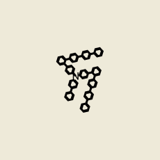 c1ccc(-c2ccc(-c3ccc(-c4ccccc4-c4ccc(N(c5ccc(-c6ccccc6)cc5)c5ccc(-c6ccccc6-c6ccc(-c7ccc(-c8ccccc8)cc7)cc6)cc5)cc4)cc3)cc2)cc1